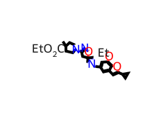 CCOC(=O)C1(C)CCN(C2=NOC3(C2)CN(Cc2cc(OCC)c4oc(C5CC5)cc4c2)C3)CC1